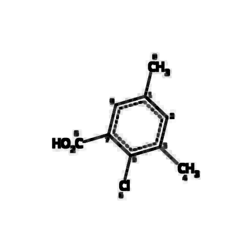 Cc1cc(C)c(Cl)c(C(=O)O)c1